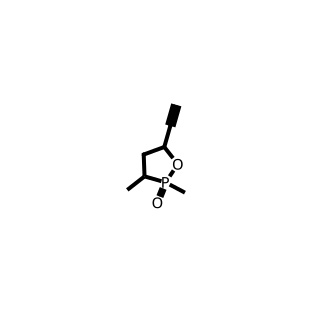 C#CC1CC(C)P(C)(=O)O1